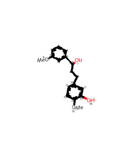 COc1cccc(C(O)CCc2ccc(OC)c(O)c2)c1